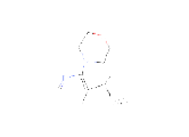 C=N/C(=C(\C)[C@@H](C)OC)N1CCOCC1